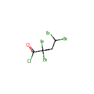 O=C(Cl)C(Br)(Br)CC(Br)Br